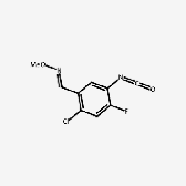 CON=Cc1cc(N=C=O)c(F)cc1Cl